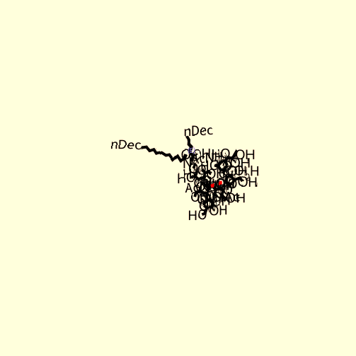 CCCCCCCCCCCCC/C=C/[C@@H](O)[C@H](CO[C@@H]1OC(CO)[C@@H](O[C@@H]2OC(CO)[C@H](O[C@@H]3OC(CO)[C@H](O)[C@H](O)C3NC(C)=O)[C@H](O[C@@H]3OC(CO)[C@@H](O[C@@H]4OC(CO)[C@H](O)[C@H](O[C@]5(C(=O)O)CC(O)[C@@H](NC(C)=O)C([C@H](O)[C@H](O)CO)O5)C4O)[C@H](O)C3NC(C)=O)C2O)[C@H](O)C1O)NC(=O)CCCCCCCCCCCCCCCCCCCCC